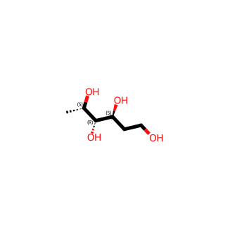 C[C@H](O)[C@@H](O)[C@@H](O)CCO